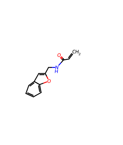 C=CC(=O)NCc1cc2ccccc2o1